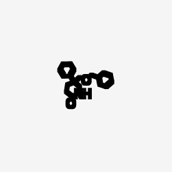 O=C1CCC(COCc2ccccc2)(c2ccccc2)CN1